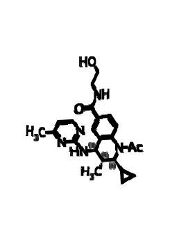 CC(=O)N1c2ccc(C(=O)NCCO)cc2[C@H](Nc2nccc(C)n2)[C@@H](C)[C@@H]1C1CC1